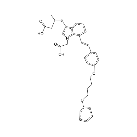 CC(CC(=O)O)Sc1cn(CC(=O)O)c2c(/C=C/c3ccc(OCCCCOc4ccccc4)cc3)cccc12